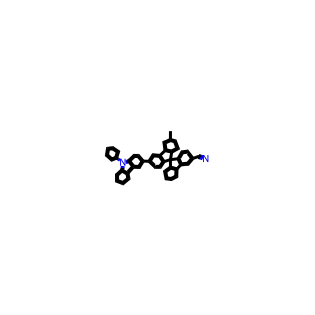 Cc1ccc2c(c1)-c1cc(-c3ccc4c(c3)c3ccccc3n4-c3ccccc3)ccc1C21c2ccccc2-c2cc(C#N)ccc21